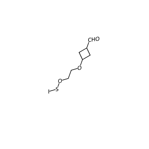 O=CC1CC(OCCOSI)C1